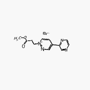 COC(=O)CC[n+]1ccc(-c2cnccn2)cn1.[Br-]